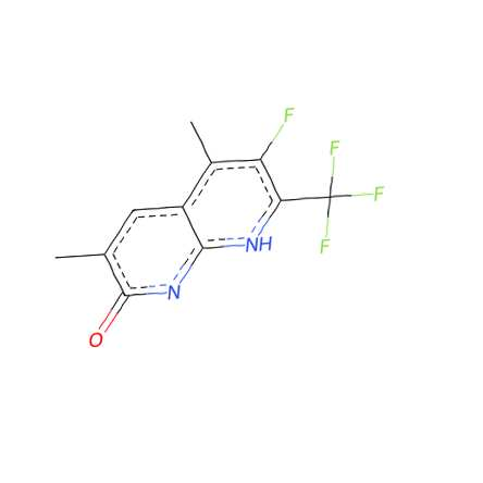 Cc1c2cc(C)c(=O)nc-2[nH]c(C(F)(F)F)c1F